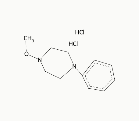 CON1CCN(c2ccccc2)CC1.Cl.Cl